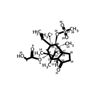 C=C[C@]1(C)C[C@@H](OC(=O)CO)[C@]2(C)[C@H](C)CC[C@]3(CCC(=O)[C@@H]32)[C@@H](C)[C@@H]1OS(C)(=O)=O